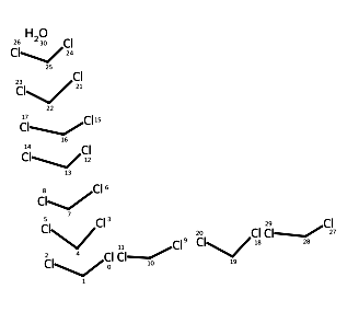 ClCCl.ClCCl.ClCCl.ClCCl.ClCCl.ClCCl.ClCCl.ClCCl.ClCCl.ClCCl.O